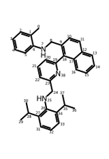 Cc1ccccc1NCc1ccc2ccccc2c1-c1cccc(CNc2c(C(C)C)cccc2C(C)C)n1